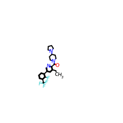 CCc1cc(-c2cccc(C(F)(F)F)c2F)cnc1C(=O)N1CCC(N2CCCC2)CC1